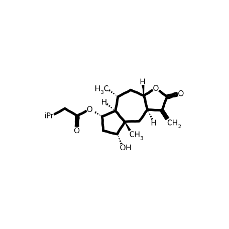 C=C1C(=O)O[C@H]2C[C@@H](C)[C@@H]3[C@@H](OC(=O)CC(C)C)C[C@@H](O)[C@@]3(C)C[C@H]12